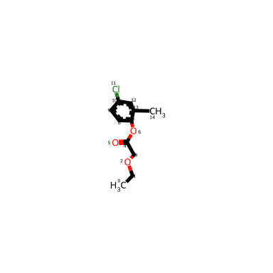 CCOCC(=O)Oc1ccc(Cl)cc1C